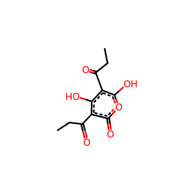 CCC(=O)c1c(O)oc(=O)c(C(=O)CC)c1O